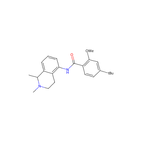 COc1cc(C(C)(C)C)ccc1C(=O)Nc1cccc2c1CCN(C)C2C